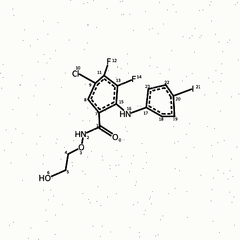 O=C(NOCCO)c1cc(Cl)c(F)c(F)c1Nc1ccc(I)cc1